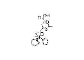 CC(=O)S[C@H](CCC(=O)O)CO[Si](c1ccccc1)(c1ccccc1)C(C)(C)C